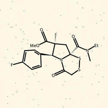 CCN(C)C(=O)[C@@]12C[C@](C)(C(=O)OC)[C@H](c3ccc(F)cc3)N1C(=O)CSS2